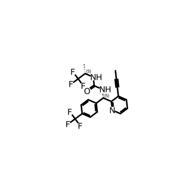 CC#Cc1cccnc1[C@@H](NC(=O)N[C@@H](C)C(F)(F)F)c1ccc(C(F)(F)F)cc1